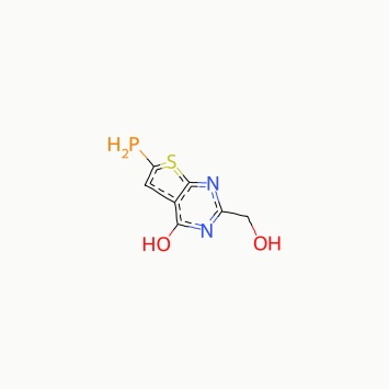 OCc1nc(O)c2cc(P)sc2n1